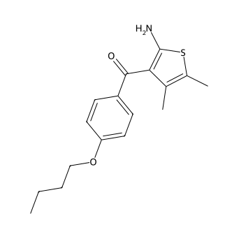 CCCCOc1ccc(C(=O)c2c(N)sc(C)c2C)cc1